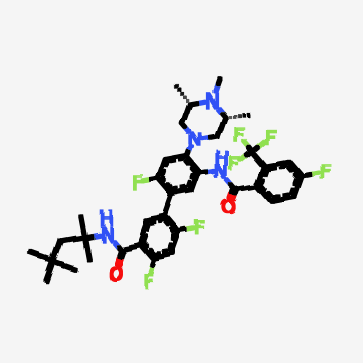 C[C@@H]1CN(c2cc(F)c(-c3cc(C(=O)NC(C)(C)CC(C)(C)C)c(F)cc3F)cc2NC(=O)c2ccc(F)cc2C(F)(F)F)C[C@H](C)N1C